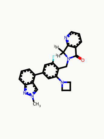 [2H]C1([2H])c2ncccc2C(=O)N1Cc1c(F)cc(-c2cccc3nn(C)cc23)cc1N1CCC1